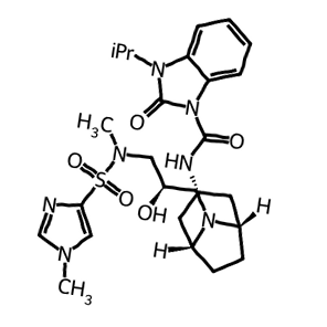 CC(C)n1c(=O)n(C(=O)N[C@H]2C[C@H]3CC[C@@H](C2)N3C[C@@H](O)CN(C)S(=O)(=O)c2cn(C)cn2)c2ccccc21